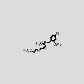 C=C(\C=C/C=N/C=C/C(=O)O)NCc1ccc(Cl)cc1OC